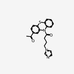 CC(=O)c1ccc2c(c1)N(C(=O)CCCn1ccnc1)c1ccccc1S2